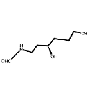 O=CNCC[C@H](O)CCCO